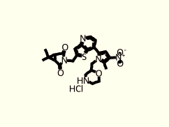 Cc1c([N+](=O)[O-])cc(-c2ccnc3cc(CN4C(=O)C5C(C4=O)C5(C)C)sc23)n1CC1CNCCO1.Cl